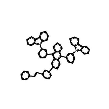 C(=C\c1cccc(-c2ccc3c(-c4cccc(-n5c6ccccc6c6ccccc65)c4)c4ccccc4c(-c4cccc(-n5c6ccccc6c6ccccc65)c4)c3c2)c1)/c1ccccc1